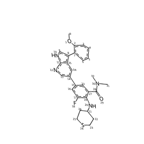 COc1ccccc1-c1c[nH]c2ncc(-c3cc(F)c(NC4CCSCC4)c(C(=O)N(C)C)c3)cc12